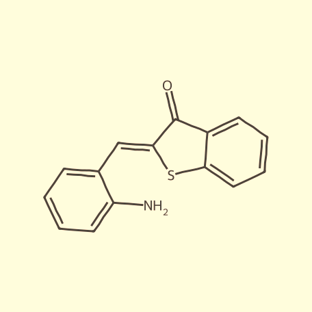 Nc1ccccc1C=C1Sc2ccccc2C1=O